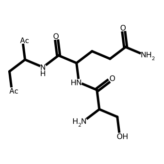 CC(=O)CC(NC(=O)C(CCC(N)=O)NC(=O)C(N)CO)C(C)=O